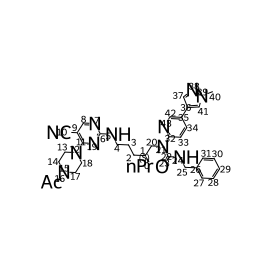 CCC[C@@H](CCCNc1ncc(C#N)c(N2CCN(C(C)=O)CC2)n1)CN(C(=O)NCc1ccccc1)c1ccc(-c2cnn(C)c2)cn1